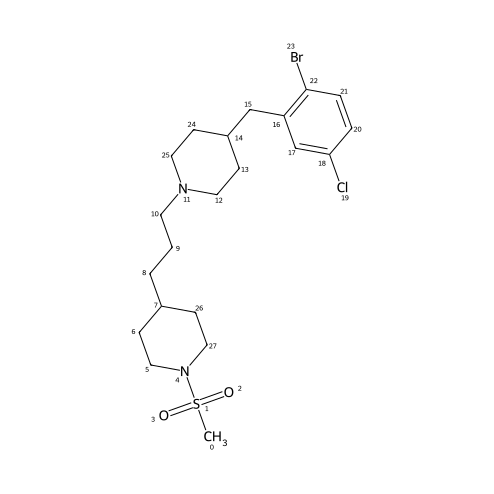 CS(=O)(=O)N1CCC(CCCN2CCC(Cc3cc(Cl)ccc3Br)CC2)CC1